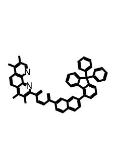 C=C(/C=C\C(=C)c1nc2c(ccc3c(C)c(C)cnc32)c(C)c1C)c1ccc2ccc(-c3cccc4c3-c3ccccc3C4(c3ccccc3)c3ccccc3)cc2c1